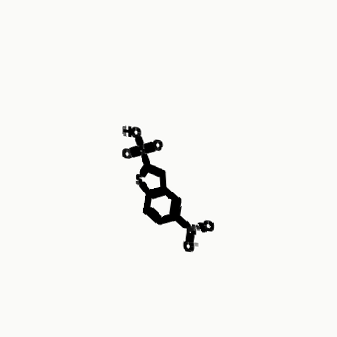 O=[N+]([O-])c1ccc2sc(S(=O)(=O)O)cc2c1